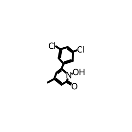 Cc1cc(-c2cc(Cl)cc(Cl)c2)n(O)c(=O)c1